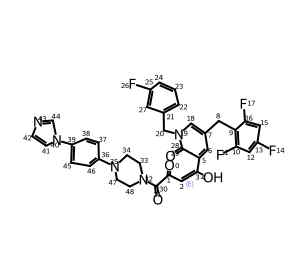 O=C(/C=C(/O)c1cc(Cc2c(F)cc(F)cc2F)cn(Cc2cccc(F)c2)c1=O)C(=O)N1CCN(c2ccc(-n3ccnc3)cc2)CC1